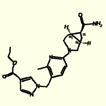 CCOC(=O)c1cnn(Cc2ccc(N3C[C@@H]4[C@H](C3)[C@@H]4C(N)=O)nc2C)c1